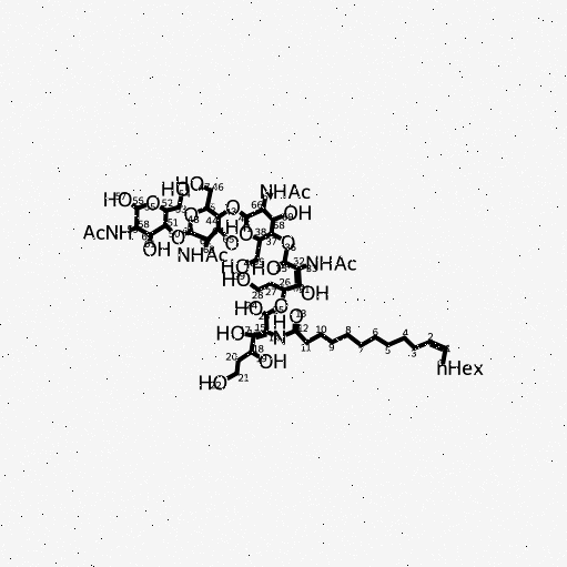 CCCCCC/C=C\CCCCCCCCCC(=O)N/C(=C(/O)C(O)CCO)C(O)OC(CCO)/C(O)=C(/NC(C)=O)C(O)OC1C(CO)OC(OC2C(CO)OC(OC3C(CO)OC(O)C(NC(C)=O)C3O)C(NC(C)=O)C2O)C(NC(C)=O)C1O